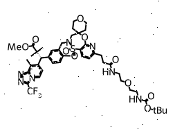 COC(=O)C(C)(C)[C@H](c1ccc(C)c(CN2CC3(CCOCC3)Oc3nc(CCC(=O)NCCOCCNC(=O)OC(C)(C)C)ccc3S2(=O)=O)c1)c1ccn2c(C(F)(F)F)nnc2c1C